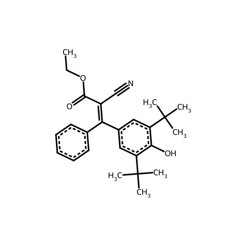 CCOC(=O)C(C#N)=C(c1ccccc1)c1cc(C(C)(C)C)c(O)c(C(C)(C)C)c1